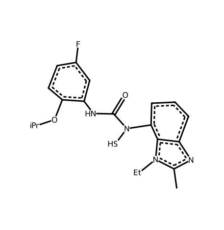 CCn1c(C)nc2cccc(N(S)C(=O)Nc3cc(F)ccc3OC(C)C)c21